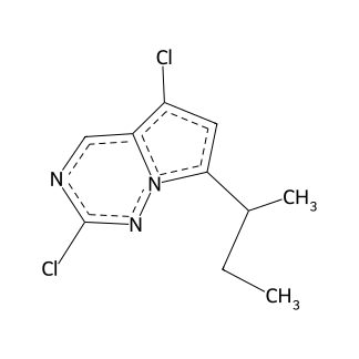 CCC(C)c1cc(Cl)c2cnc(Cl)nn12